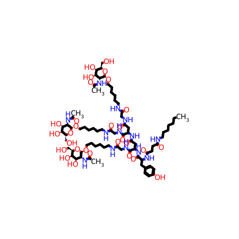 CCCCCCCNC(=O)CCC(=O)NC(Cc1ccc(O)cc1)C(=O)NC(CC(=O)NC(CC(=O)NCC(=O)NCCCCCCO[C@@H]1O[C@H](CO)[C@H](O)[C@H](O)[C@H]1NC(C)=O)C(=O)NCC(=O)NCCCCCCO[C@@H]1O[C@H](CO)[C@H](O)[C@H](O)[C@H]1NC(C)=O)C(=O)NCC(=O)NCCCCCCO[C@@H]1O[C@H](CO)[C@H](O)[C@H](O)[C@H]1NC(C)=O